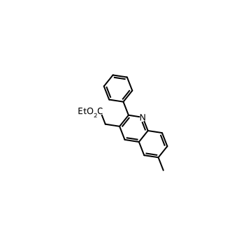 CCOC(=O)Cc1cc2cc(C)ccc2nc1-c1ccccc1